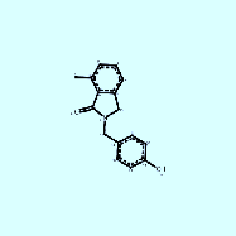 Cc1cccc2c1C(=O)N(Cc1ccc(O)cc1)C2